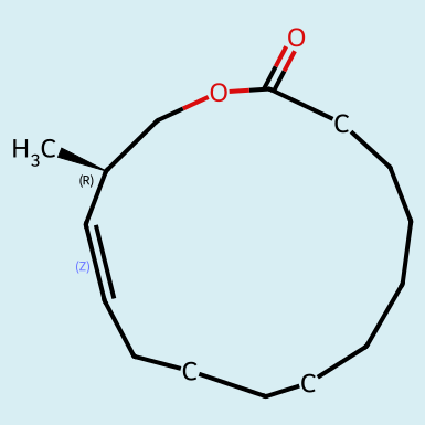 C[C@@H]1/C=C\CCCCCCCCCC(=O)OC1